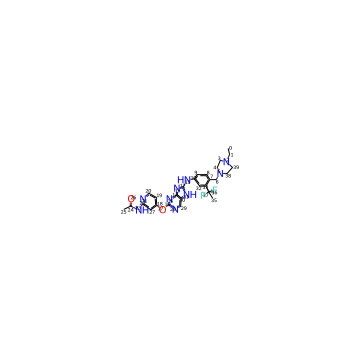 CCN1CCN(Cc2ccc(Nc3nc4nc(Oc5ccnc(NC(C)=O)c5)ncc4[nH]3)cc2C(C)(F)F)CC1